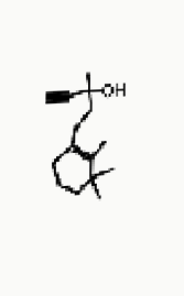 C#CC(C)(O)CCC1=C(C)C(C)(C)CCC1